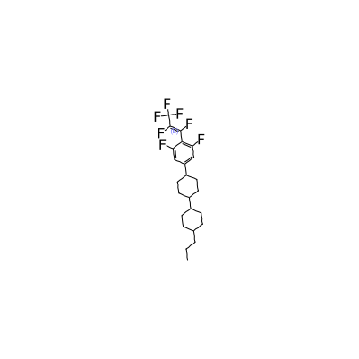 CCCC1CCC(C2CCC(c3cc(F)c(/C(F)=C(\F)C(F)(F)F)c(F)c3)CC2)CC1